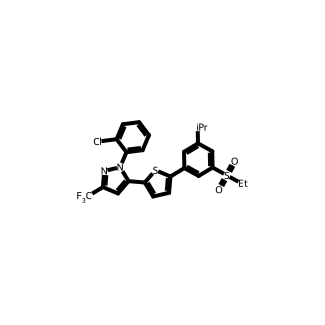 CCS(=O)(=O)c1cc(-c2ccc(-c3cc(C(F)(F)F)nn3-c3ccccc3Cl)s2)cc(C(C)C)c1